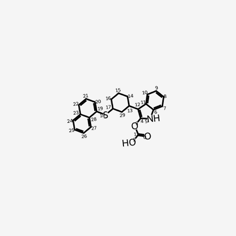 O=C(O)Oc1[nH]c2ccccc2c1C1CCCC(Sc2cccc3ccccc23)C1